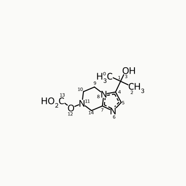 CC(C)(O)c1cnc2n1CCN(OC(=O)O)C2